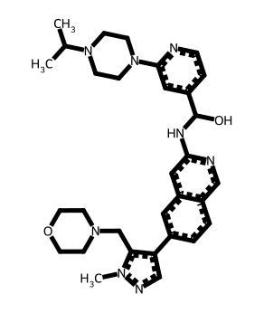 CC(C)N1CCN(c2cc(C(O)Nc3cc4cc(-c5cnn(C)c5CN5CCOCC5)ccc4cn3)ccn2)CC1